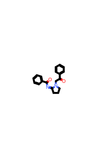 O=C(CN1CCCC1=NC(=O)c1ccccc1)c1ccccc1